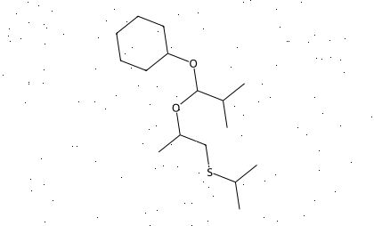 CC(CSC(C)C)OC(OC1CCCCC1)C(C)C